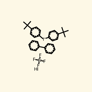 CC(C)(C)c1ccc([I+]c2ccc(C(C)(C)C)cc2)cc1.F[B-](F)(F)F.I.c1ccc(-c2ccccc2)cc1